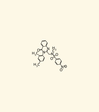 Cc1ccc(-n2c(CN(C)S(=O)(=O)c3ccc([N+](=O)[O-])cc3)nc3ccccc3c2=O)c(C)c1